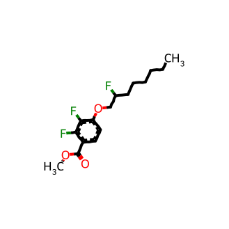 CCCCCCC(F)COc1ccc(C(=O)OC)c(F)c1F